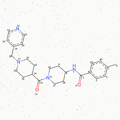 Cc1ccc(C(=O)NC2CCN(C(=O)C3CCN(Cc4ccncc4)CC3)CC2)cc1